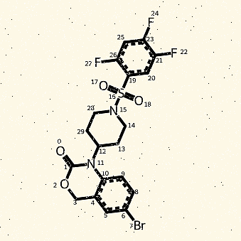 O=C1OCc2cc(Br)ccc2N1C1CCN(S(=O)(=O)c2cc(F)c(F)cc2F)CC1